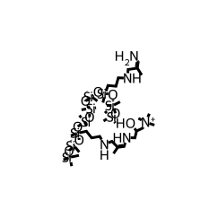 C/C(=C/N)CNCCC[Si](C)(O[Si](C)(C)O[Si](C)(C)C)O[Si](C)(C)O[Si](C)(C)O[Si](C)(C)O[Si](C)(CCCNC/C(C)=C\NCC(O)C[N+](C)(C)C)O[Si](C)(C)O[Si](C)(C)C